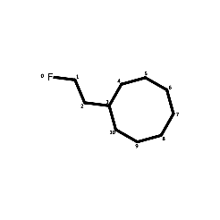 FCCC1CCCCCCC1